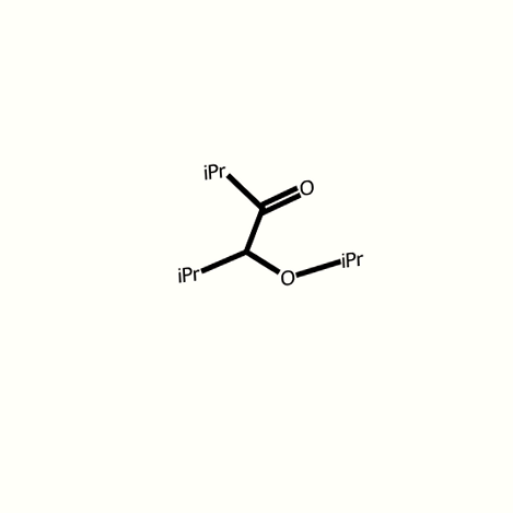 CC(C)OC(C(=O)C(C)C)C(C)C